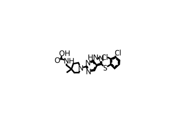 CC1(CNC(=O)O)CCN(c2ncc3c(Sc4cccc(Cl)c4Cl)n[nH]c3n2)CC1